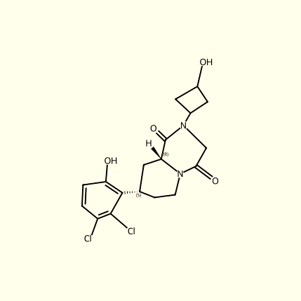 O=C1[C@H]2C[C@@H](c3c(O)ccc(Cl)c3Cl)CCN2C(=O)CN1C1CC(O)C1